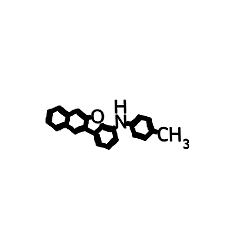 Cc1ccc(Nc2cccc3c2oc2cc4ccccc4cc23)cc1